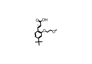 COCCOc1cc(C(C)(C)C)ccc1/C=C/C(=O)O